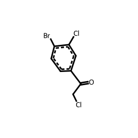 O=C(CCl)c1ccc(Br)c(Cl)c1